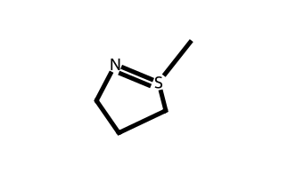 CS1=NCCC1